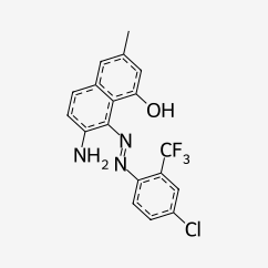 Cc1cc(O)c2c(N=Nc3ccc(Cl)cc3C(F)(F)F)c(N)ccc2c1